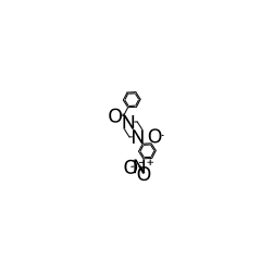 COc1ccc([N+](=O)[O-])cc1N1CCN(C(=O)c2ccccc2)CC1